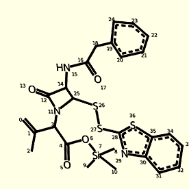 C=C(C)C(C(=O)O[Si](C)(C)C)N1C(=O)C(NC(=O)Cc2ccccc2)C1SSc1nc2ccccc2s1